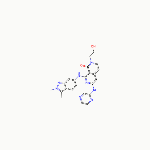 Cc1c2ccc(Nc3nc(Nc4cnccn4)cc4ccn(CCO)c(=O)c34)cc2nn1C